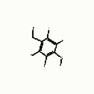 C[CH]c1c(F)c(F)c(SC)c(F)c1F